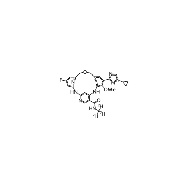 [2H]C([2H])([2H])NC(=O)c1cnc2cc1Nc1cc(cc(-c3ncn(C4CC4)n3)c1OC)COCc1cc(F)cc(n1)N2